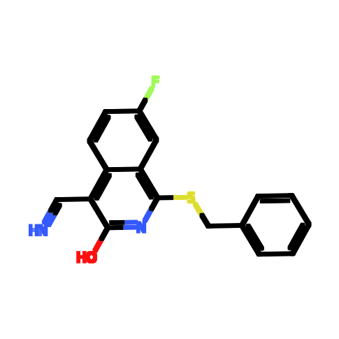 N=Cc1c(O)nc(SCc2ccccc2)c2cc(F)ccc12